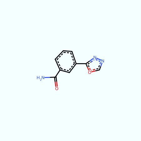 NC(=O)c1cccc(-c2nnco2)c1